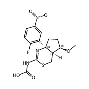 CO[C@@H]1CC[C@]2(c3cc([N+](=O)[O-])ccc3F)N=C(NC(=O)O)SC[C@H]12